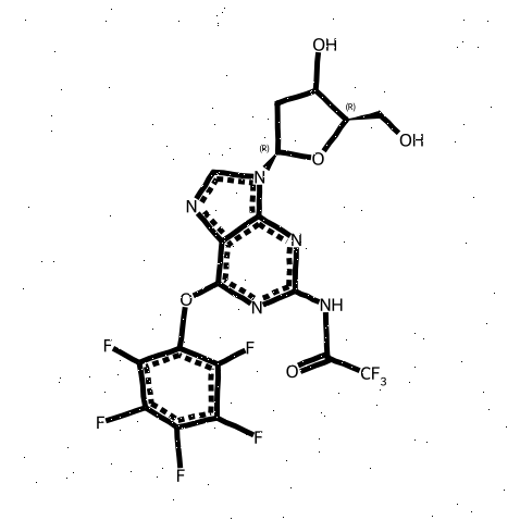 O=C(Nc1nc(Oc2c(F)c(F)c(F)c(F)c2F)c2ncn([C@H]3CC(O)[C@@H](CO)O3)c2n1)C(F)(F)F